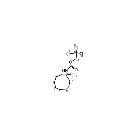 O=C(NC1(P)CCCCCCCC1)OCC(Cl)(Cl)Cl